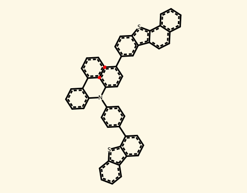 c1ccc(-c2ccccc2N(c2ccc(-c3ccc4sc5c6ccccc6ccc5c4c3)cc2)c2ccc(-c3cccc4c3sc3ccccc34)cc2)cc1